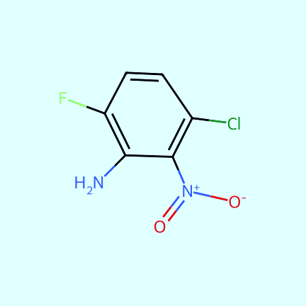 Nc1c(F)ccc(Cl)c1[N+](=O)[O-]